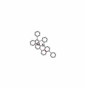 c1ccc(-c2ccc(N(c3ccccc3-c3ccccc3)c3ccccc3-c3oc4ccccc4c3-c3ccccc3)cc2)cc1